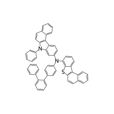 c1ccc(-c2ccccc2-c2ccc(N(c3ccc4c5c6ccccc6ccc5n(-c5ccccc5)c4c3)c3cccc4c3sc3ccc5ccccc5c34)cc2)cc1